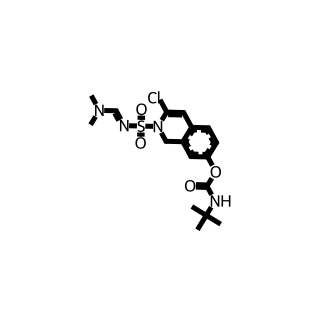 CN(C)/C=N/S(=O)(=O)N1Cc2cc(OC(=O)NC(C)(C)C)ccc2C=C1Cl